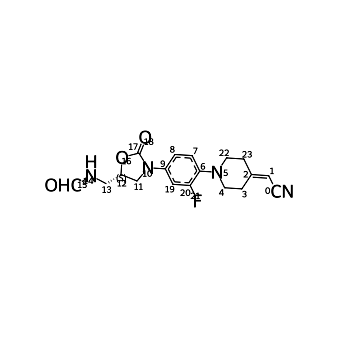 N#CC=C1CCN(c2ccc(N3C[C@H](CNC=O)OC3=O)cc2F)CC1